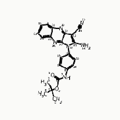 CC(C)(C)OC(=O)Nc1ccc(-n2c(N)c(C#N)c3nc4ccccc4nc32)cc1